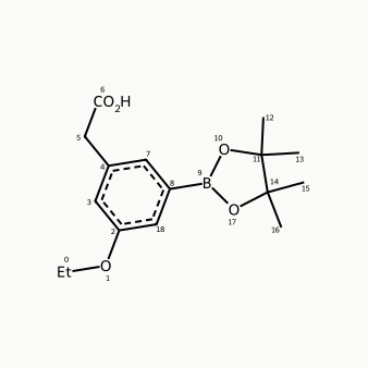 CCOc1cc(CC(=O)O)cc(B2OC(C)(C)C(C)(C)O2)c1